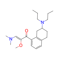 CCCN(CCC)C1CCc2cccc(C(=O)C(=CN(C)C)OC)c2C1